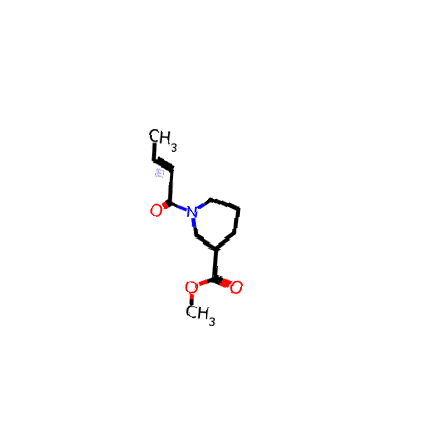 C/C=C/C(=O)N1CCCC(C(=O)OC)C1